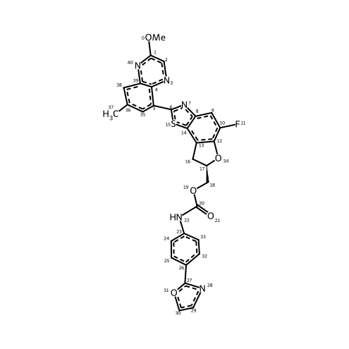 COc1cnc2c(-c3nc4cc(F)c5c(c4s3)C[C@H](COC(=O)Nc3ccc(-c4ncco4)cc3)O5)cc(C)cc2n1